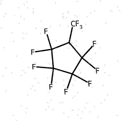 FC(F)(F)[C]1C(F)(F)C(F)(F)C(F)(F)C1(F)F